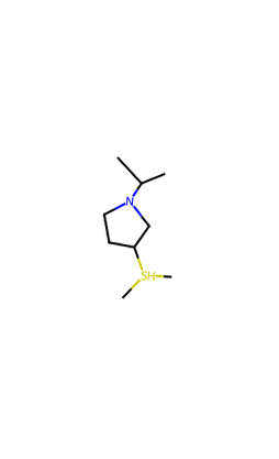 CC(C)N1CCC([SH](C)C)C1